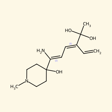 C=C/C(=C\C=C(/N)C1(O)CCN(C)CC1)C(C)(O)O